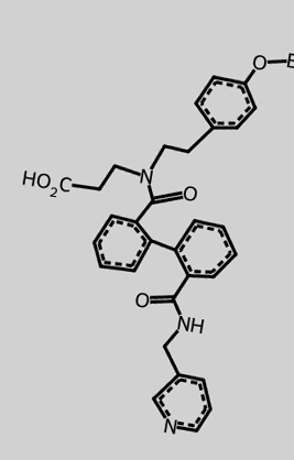 CCOc1ccc(CCN(CCC(=O)O)C(=O)c2ccccc2-c2ccccc2C(=O)NCc2cccnc2)cc1